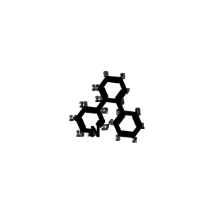 [c]1ccccc1-c1ccccc1-c1cccnc1